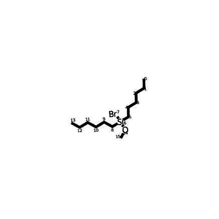 CCCCCC[Si](Br)(CCCCCC)OC